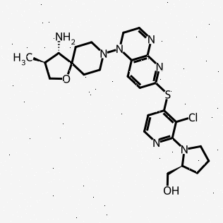 C[C@@H]1COC2(CCN(N3CC=Nc4nc(Sc5ccnc(N6CCC[C@H]6CO)c5Cl)ccc43)CC2)[C@H]1N